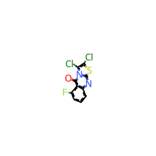 O=c1c2c(F)cccc2nc2sc(Cl)c(Cl)n12